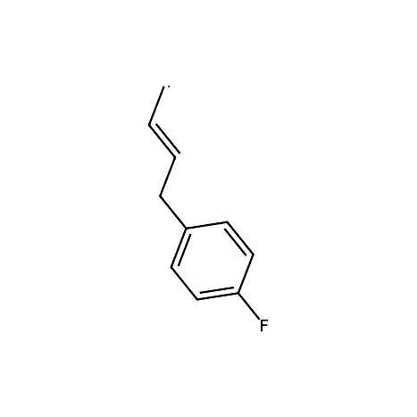 [CH2]C=CCc1ccc(F)cc1